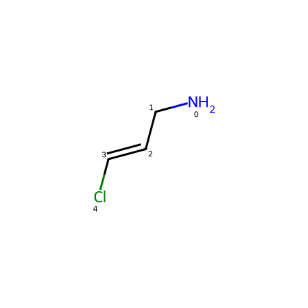 NCC=CCl